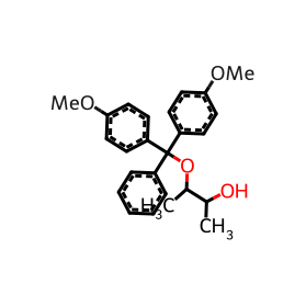 COc1ccc(C(OC(C)C(C)O)(c2ccccc2)c2ccc(OC)cc2)cc1